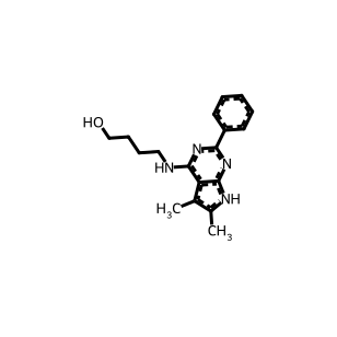 Cc1[nH]c2nc(-c3ccccc3)nc(NCCCCO)c2c1C